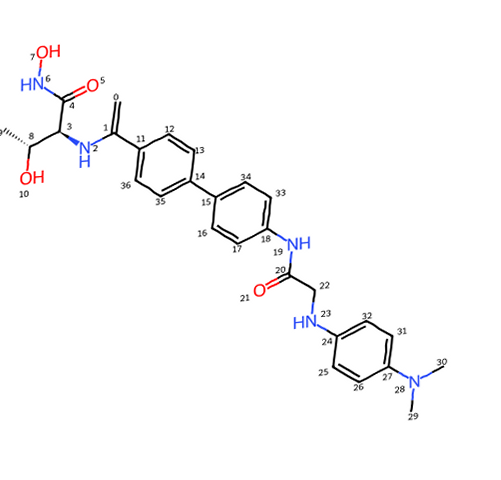 C=C(N[C@H](C(=O)NO)[C@@H](C)O)c1ccc(-c2ccc(NC(=O)CNc3ccc(N(C)C)cc3)cc2)cc1